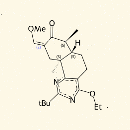 CCOc1nc(C(C)(C)C)nc2c1CC[C@H]1[C@H](C)C(=O)/C(=C\OC)C[C@]21C